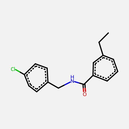 CCc1cccc(C(=O)NCc2ccc(Cl)cc2)c1